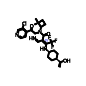 C=C(O)[C@H]1CC[C@@H](N/C(=C(\C=N)C(=O)N(CC(=O)c2ccncc2Cl)C2CCC2(C)C)C(F)(F)F)CC1